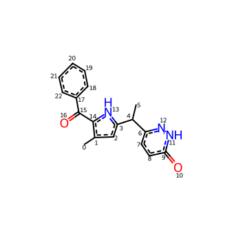 Cc1cc(C(C)c2ccc(=O)[nH]n2)[nH]c1C(=O)c1ccccc1